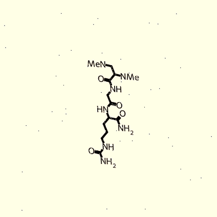 CNCC(NC)C(=O)NCC(=O)NC(CCCNC(N)=O)C(N)=O